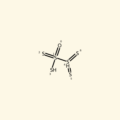 O=S(=S)(S)[SH](=S)=S